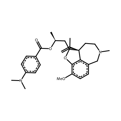 C=C(C)[C@@]12CCN(C)Cc3ccc(OC)c(c31)OC2C[C@H](C)OC(=O)c1ccc(N(C)C)cc1